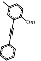 Cc1ccc(C=O)c(C#Cc2ccccc2)c1